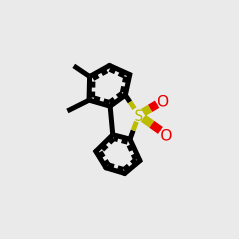 Cc1ccc2c(c1C)-c1ccccc1S2(=O)=O